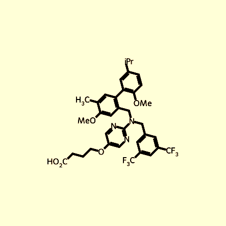 COc1cc(CN(Cc2cc(C(F)(F)F)cc(C(F)(F)F)c2)c2ncc(OCCCC(=O)O)cn2)c(-c2cc(C(C)C)ccc2OC)cc1C